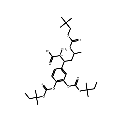 CCC(C)(C)OC(=O)Oc1ccc(C(CC(C)OC(=O)OCC(C)(C)C)[C@H](N)C(=O)O)cc1OC(=O)OC(C)(C)CC